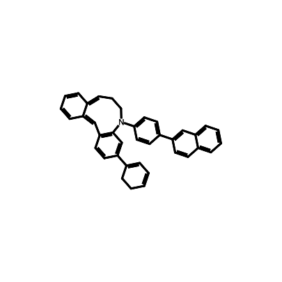 C1=CCCC(c2ccc3c(c2)N(c2ccc(-c4ccc5ccccc5c4)cc2)CC/C=c2/cccc/c2=C\3)=C1